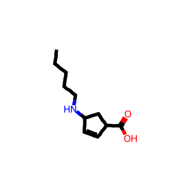 CCCCCNC1C=CC(C(=O)O)C1